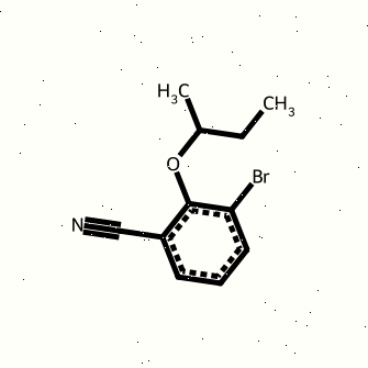 CCC(C)Oc1c(Br)cccc1C#N